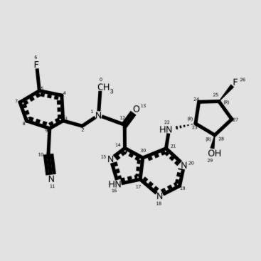 CN(Cc1cc(F)ccc1C#N)C(=O)c1n[nH]c2ncnc(N[C@@H]3C[C@@H](F)C[C@H]3O)c12